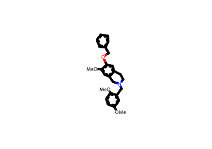 COc1ccc(OC)c(CN2CCc3cc(OCc4ccccc4)c(OC)cc3C2)c1